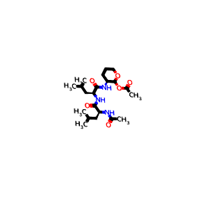 CC(=O)N[C@@H](CC(C)C)C(=O)N[C@@H](CC(C)C)C(=O)N[C@H]1CCCOC1OC(C)=O